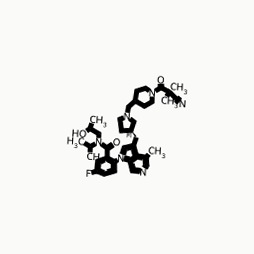 Cc1cncc2c1c(C[C@@H]1CCN(CC3CCN(C(=O)C(C)(C)C#N)CC3)C1)cn2-c1ccc(F)cc1C(=O)N(CC(C)O)C(C)C